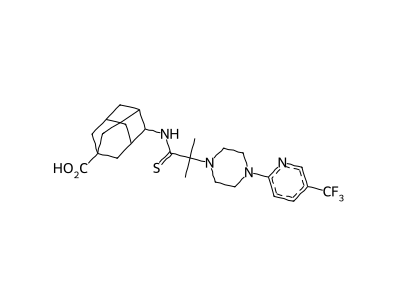 CC(C)(C(=S)NC1C2CC3CC1CC(C(=O)O)(C3)C2)N1CCN(c2ccc(C(F)(F)F)cn2)CC1